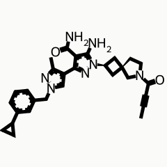 CC#CC(=O)N1CC[C@]2(C1)C[C@H](n1nc(-c3cn(Cc4cccc(C5CC5)c4)nc3C)c(C(N)=O)c1N)C2